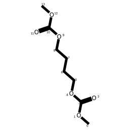 COC(=O)OCCCCOC(=O)OC